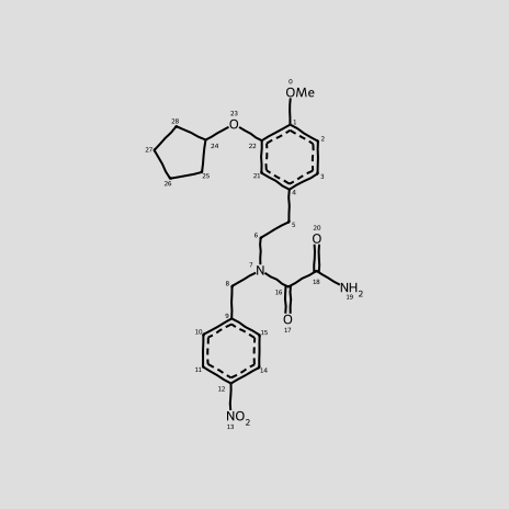 COc1ccc(CCN(Cc2ccc([N+](=O)[O-])cc2)C(=O)C(N)=O)cc1OC1CCCC1